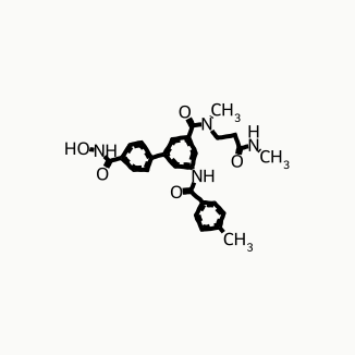 CNC(=O)CCN(C)C(=O)c1cc(NC(=O)c2ccc(C)cc2)cc(-c2ccc(C(=O)NO)cc2)c1